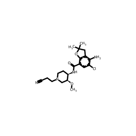 CO[C@H]1CN(CCC#N)CC[C@H]1NC(=O)c1cc(Cl)c(N)c2c1OC(C)(C)C2